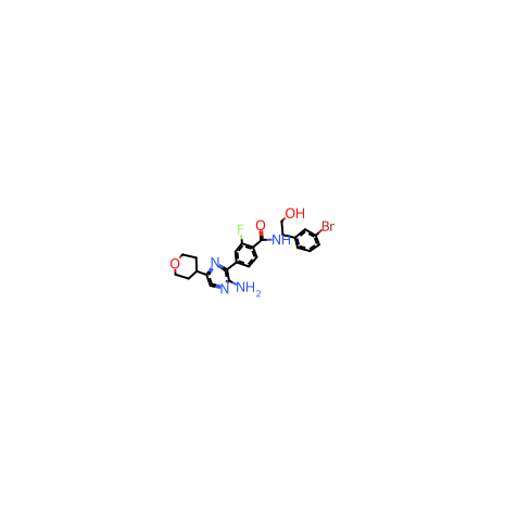 Nc1ncc(C2CCOCC2)nc1-c1ccc(C(=O)NC(CO)c2cccc(Br)c2)c(F)c1